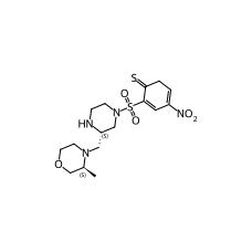 C[C@H]1COCCN1C[C@H]1CN(S(=O)(=O)C2=CC([N+](=O)[O-])=CCC2=S)CCN1